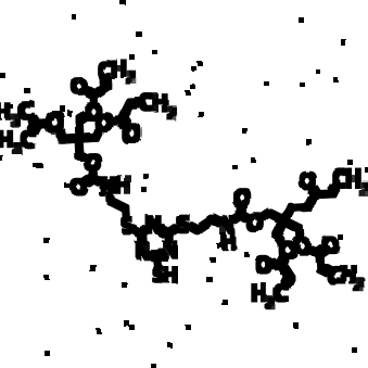 C=CC(=O)CCC(COC(=O)C=C)(COC(=O)C=C)COC(=O)NCCSc1nc(S)nc(SCCNC(=O)OCC(COC(=C)C)(COC(=O)C=C)COC(=O)C=C)n1